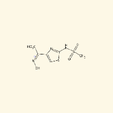 CS(=O)(=O)Nc1nc(/C(=N\O)C(=O)O)cs1